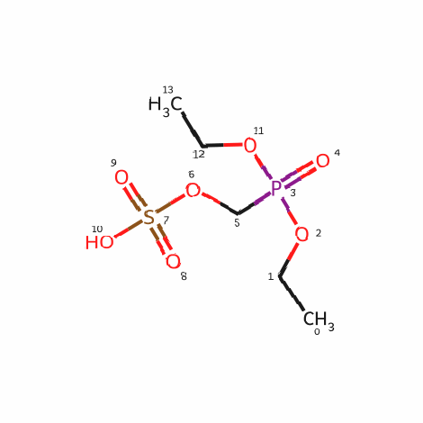 CCOP(=O)(COS(=O)(=O)O)OCC